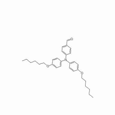 CCCCCCOc1ccc(N(c2ccc(C=O)cc2)c2ccc(OCCCCCC)cc2)cc1